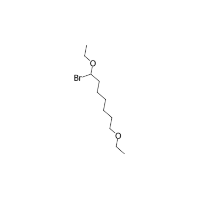 CCOCCCCCCC(Br)OCC